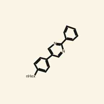 CCCCCCc1ccc(-c2cnc(-c3cc[c]cc3)nc2)cc1